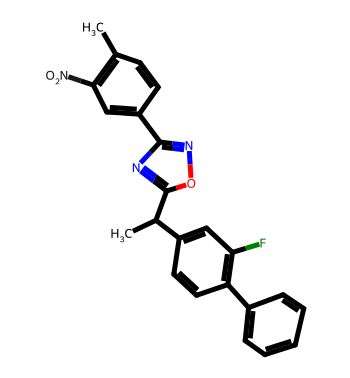 Cc1ccc(-c2noc(C(C)c3ccc(-c4ccccc4)c(F)c3)n2)cc1[N+](=O)[O-]